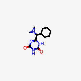 CN(C)C(c1nc(=O)[nH]c(=O)[nH]1)C1CCCCC1